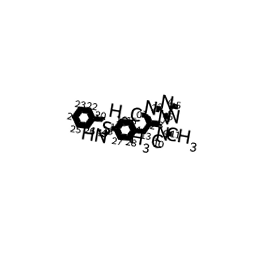 Cc1nc2ncnn2c(N(C)C)c1Cc1ccc(S(=N)Cc2ccccc2)cc1